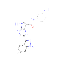 Cn1nc(-c2cnc3[nH]cc(C(=O)N[C@@H]4CCCC(N)C4)c3n2)c2ccc(Cl)cc21